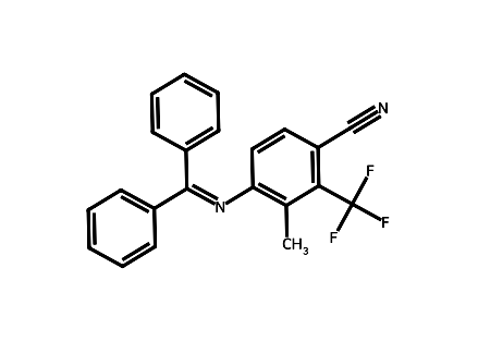 Cc1c(N=C(c2ccccc2)c2ccccc2)ccc(C#N)c1C(F)(F)F